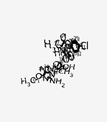 CCOc1nc(N)nc2c1ncn2[C@@H]1O[C@H](COP(=O)(NC(C)C(=O)O)Oc2ccc(Cl)cc2)[C@@H](O)[C@@]1(C)F